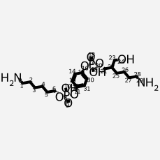 NCCCCCCOP(=O)(O)Oc1ccc(OP(=O)(O)OCC(CO)CCCCN)cc1